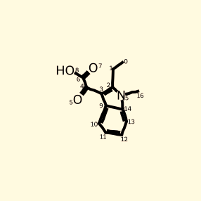 CCc1c(C(=O)C(=O)O)c2ccccc2n1C